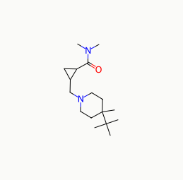 CN(C)C(=O)C1CC1CN1CCC(C)(C(C)(C)C)CC1